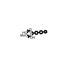 C=C(CO)C(=O)OCC(COC(O)C(=C)COC)C1CCC(C2CCC(C3CCCC3)CC2)CC1